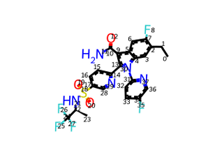 CCc1cc2c(cc1F)c(C(N)=O)c(-c1ccc(S(=O)(=O)N[C@@H](C)C(F)(F)F)cn1)n2-c1ccc(F)cn1